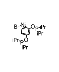 CC(C)P(Oc1cccc(OP(C(C)C)C(C)C)c1)C(C)C.[Ni][Br]